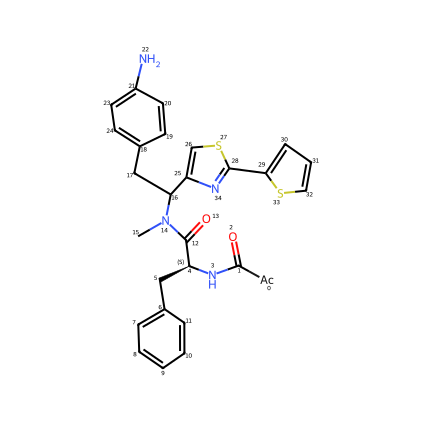 CC(=O)C(=O)N[C@@H](Cc1ccccc1)C(=O)N(C)C(Cc1ccc(N)cc1)c1csc(-c2cccs2)n1